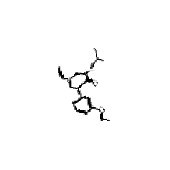 C=CN1CC(SCC(C)C)C(=O)C(c2cccc(OCC)c2)C1